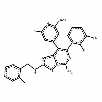 COc1cc(-c2c(-c3cccc(C#N)c3F)nc(N)n3nc(NCc4ncccc4C)nc23)cc(C)n1